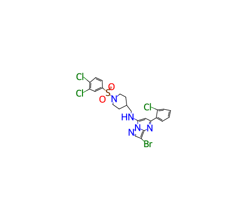 O=S(=O)(c1ccc(Cl)c(Cl)c1)N1CCC(CNc2cc(-c3ccccc3Cl)nc3c(Br)cnn23)CC1